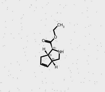 CCOC(=O)[C@H]1NC[C@@H]2C=CC[C@H]12